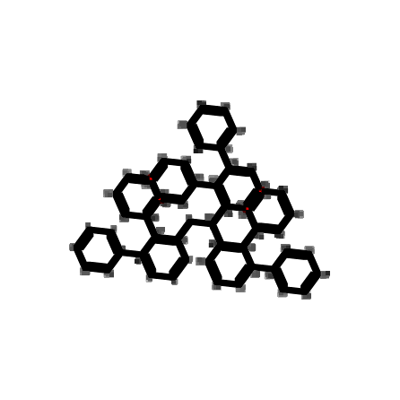 c1ccc(-c2cccc(C[C](c3cccc(-c4ccccc4)c3-c3ccccc3)c3cccc(-c4ccccc4)c3-c3ccccc3)c2-c2ccccc2)cc1